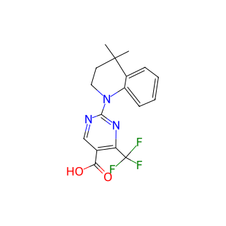 CC1(C)CCN(c2ncc(C(=O)O)c(C(F)(F)F)n2)c2ccccc21